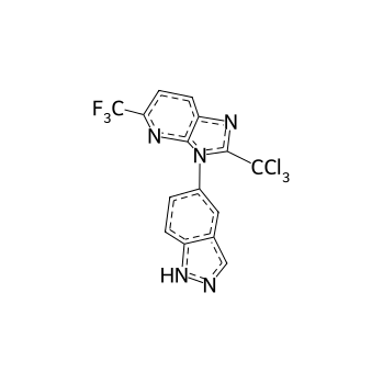 FC(F)(F)c1ccc2nc(C(Cl)(Cl)Cl)n(-c3ccc4[nH]ncc4c3)c2n1